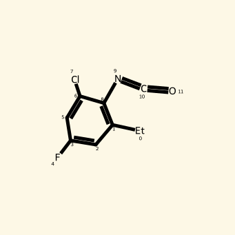 CCc1cc(F)cc(Cl)c1N=C=O